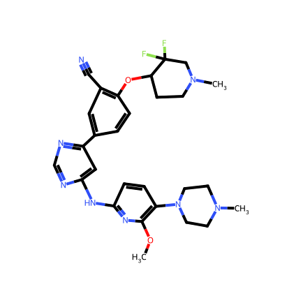 COc1nc(Nc2cc(-c3ccc(OC4CCN(C)CC4(F)F)c(C#N)c3)ncn2)ccc1N1CCN(C)CC1